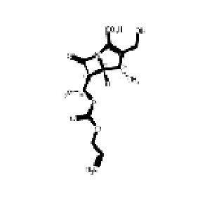 C=CCOC(=O)O[C@H](C)[C@H]1C(=O)N2C(C(=O)O)=C(CO)[C@H](C)[C@H]12